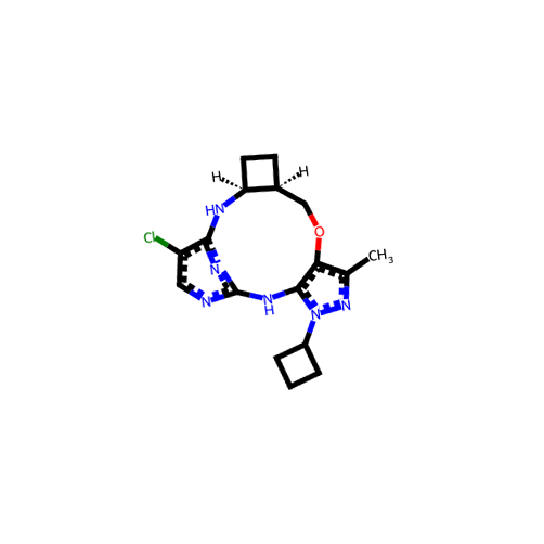 Cc1nn(C2CCC2)c2c1OC[C@@H]1CC[C@@H]1Nc1nc(ncc1Cl)N2